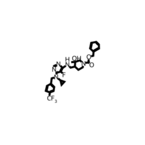 CC1(O)CN(C(=O)OCc2ccccc2)CCC1CNc1ncnc(N(Cc2ccc(C(F)(F)F)cc2)C2CC2)c1F